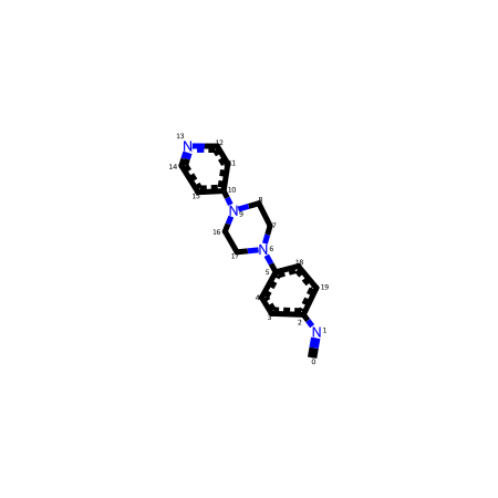 C=Nc1ccc(N2CCN(c3ccncc3)CC2)cc1